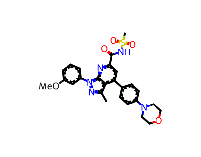 COc1cccc(-n2nc(C)c3c(-c4ccc(N5CCOCC5)cc4)cc(C(=O)NS(C)(=O)=O)nc32)c1